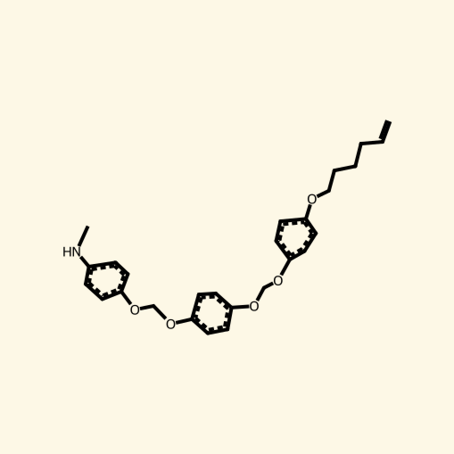 C=CCCCCOc1ccc(OCOc2ccc(OCOc3ccc(NC)cc3)cc2)cc1